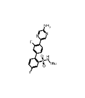 CC(C)(C)NS(=O)(=O)c1cc(F)ccc1-c1ccc(-c2cnc(N)cn2)c(F)c1